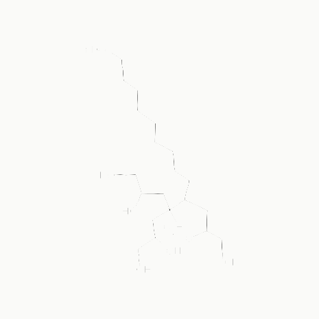 CCCCCCCCCCCCCCCCCCCC(CC(O)CO)C(CC(O)CO)(CC(O)CO)C(=O)O